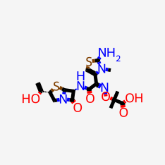 C=C(O)[C@H]1CN2C(=O)[C@@H](NC(=O)/C(=N\OC(C)(C)C(=O)O)C3=CSC(N)N3C)C2S1